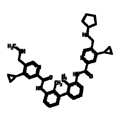 CNCc1cnc(C(=O)Nc2cccc(-c3cccc(NC(=O)c4cc(C5CC5)c(CNC5CCCC5)cn4)c3C)c2C)cc1C1CC1